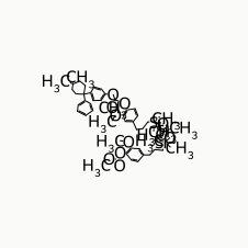 COC(=O)Oc1ccc(CCC[Si](C)(C)O[Si](C)(C)O[Si](C)(C)CCCc2ccc(OC(=O)Oc3ccc(C4(c5ccccc5)CCC(C)(C)CC4)cc3C)c(OC)c2)cc1OC